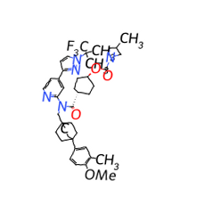 COc1ccc(C23CCC(CN(c4cc(-c5ccn(C(C)(C)C(F)(F)F)n5)ccn4)C(=O)[C@H]4CC[C@H](OC(=O)N5CC(C)C5)CC4)(CC2)CC3)cc1C